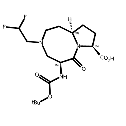 CC(C)(C)OC(=O)N[C@H]1CN(CC(F)F)CC[C@H]2CC[C@@H](C(=O)O)N2C1=O